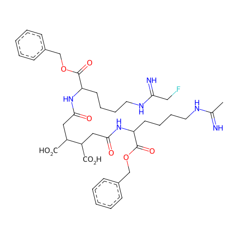 CC(=N)NCCCCC(NC(=O)CC(C(=O)O)C(CC(=O)NC(CCCCNC(=N)CF)C(=O)OCc1ccccc1)C(=O)O)C(=O)OCc1ccccc1